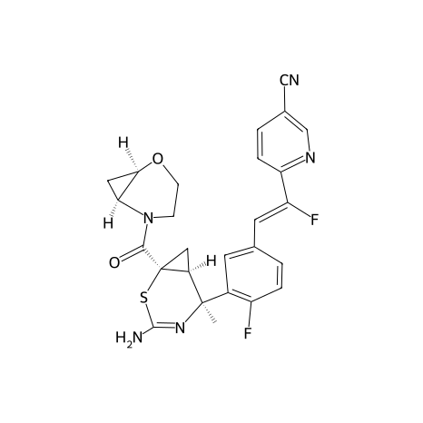 C[C@]1(c2cc(/C=C(\F)c3ccc(C#N)cn3)ccc2F)N=C(N)S[C@@]2(C(=O)N3CCO[C@@H]4C[C@@H]43)C[C@H]21